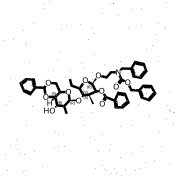 CCC1O[C@@H](OCCN(Cc2ccccc2)C(=O)OCc2ccccc2)C(OC(=O)c2ccccc2)[C@@H](C)[C@@H]1O[C@@H]1OC2COC(c3ccccc3)O[C@H]2[C@H](O)C1C